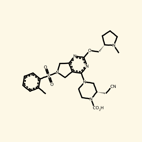 Cc1ccccc1S(=O)(=O)N1Cc2nc(OC[C@@H]3CCCN3C)nc(N3CCN(C(=O)O)[C@@H](CC#N)C3)c2C1